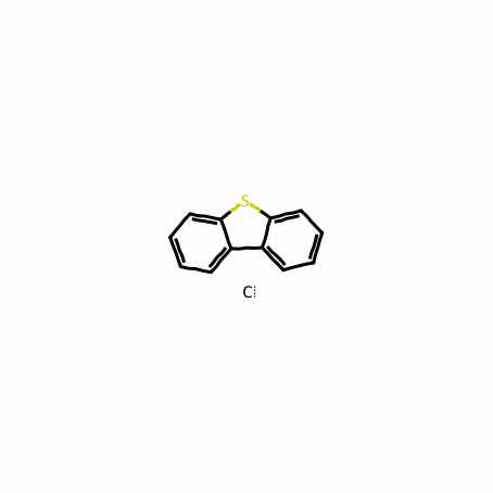 [C].c1ccc2c(c1)sc1ccccc12